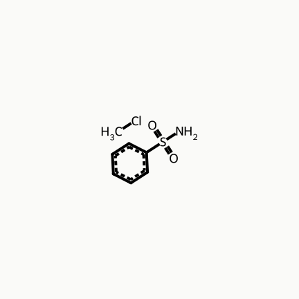 CCl.NS(=O)(=O)c1ccccc1